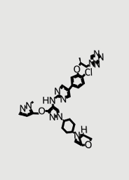 C[C@@H](Cn1cnnn1)Oc1cc(-c2cnc(Nc3cn([C@H]4CC[C@H](N5C=C6C[C@@H]5CO6)CC4)nc3OCc3ccnn3C)nc2)ccc1Cl